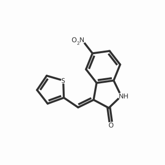 O=C1Nc2ccc([N+](=O)[O-])cc2C1=Cc1cccs1